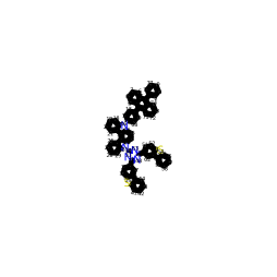 c1ccc(-c2c3ccccc3c(-c3ccc(-n4c5ccccc5c5c6c7ccccc7n(-c7nc(-c8ccc9sc%10ccccc%10c9c8)nc(-c8ccc9sc%10ccccc%10c9c8)n7)c6ccc54)cc3)c3ccccc23)cc1